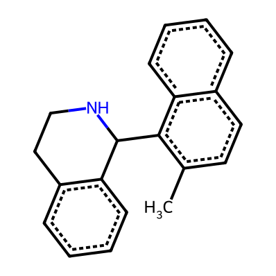 Cc1ccc2ccccc2c1C1NCCc2ccccc21